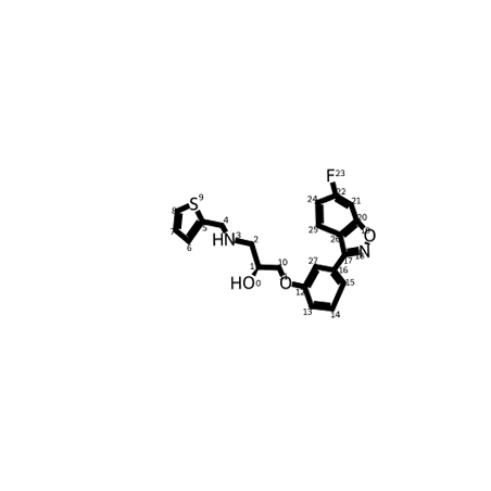 O[C@@H](CNCc1cccs1)COc1cccc(-c2noc3cc(F)ccc23)c1